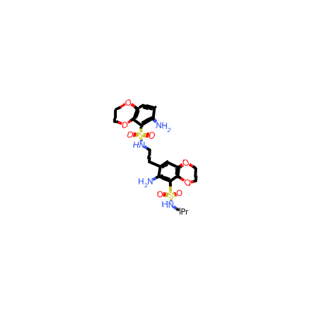 CC(C)NS(=O)(=O)c1c(N)c(CCNS(=O)(=O)c2c(N)ccc3c2OCCO3)cc2c1OCCO2